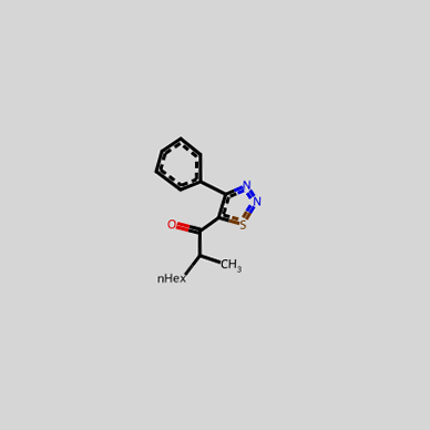 CCCCCCC(C)C(=O)c1snnc1-c1ccccc1